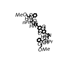 CCCN(Cc1ncc(-c2cc3c4c(c2)OCc2cc(-c5cnc(CN(CCC)C(=O)[C@H](NC(=O)CCOC)c6ccccc6)[nH]5)cc(c2-4)OC3)[nH]1)C(=O)[C@H](NC(=O)CCOC)c1ccccc1